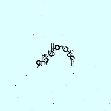 Cc1cccc(-c2nccc(Nc3ccnc(Nc4ccc(CN5CCC(C(=O)O[C@@H]6CCNC6)CC5)cc4)n3)n2)n1